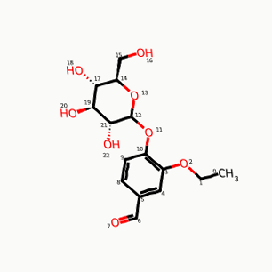 CCOc1cc(C=O)ccc1OC1O[C@H](CO)[C@@H](O)[C@H](O)[C@H]1O